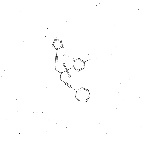 Cc1ccc(S(=O)(=O)N(CC#Cc2cccs2)CC#CC2C=CC=CC=C2)cc1